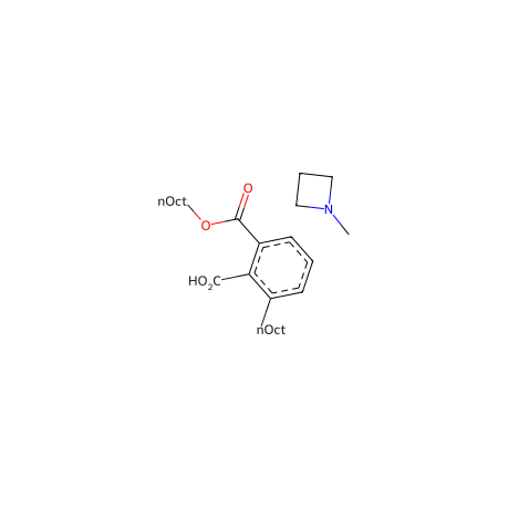 CCCCCCCCOC(=O)c1cccc(CCCCCCCC)c1C(=O)O.CN1CCC1